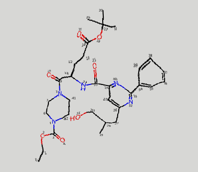 CCOC(=O)N1CCN(C(=O)C(CCC(=O)OC(C)(C)C)NC(=O)c2cc(CC(C)CO)nc(-c3ccccc3)n2)CC1